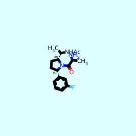 CC(=O)NC(C)[C@H]1CC[C@@H](c2cccc(F)c2)N1C(=O)C(C)N